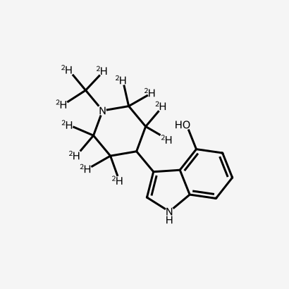 [2H]C([2H])([2H])N1C([2H])([2H])C([2H])([2H])C(c2c[nH]c3cccc(O)c23)C([2H])([2H])C1([2H])[2H]